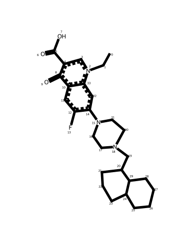 CCn1cc(C(=O)O)c(=O)c2cc(F)c(N3CCN(CC4CCCC5CCCCC54)CC3)cc21